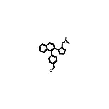 CN(C)CC1=CC=CC1c1ccc2ccccc2c1-c1ccc(C[O])cc1